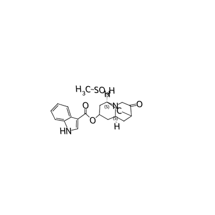 CS(=O)(=O)O.O=C(OC1C[C@@H]2CC3C[C@@H](C1)N2CC3=O)c1c[nH]c2ccccc12